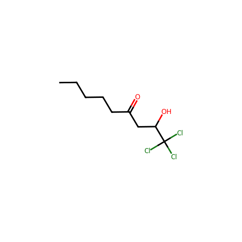 CCCCCC(=O)CC(O)C(Cl)(Cl)Cl